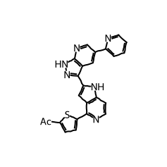 CC(=O)c1ccc(-c2nccc3[nH]c(-c4n[nH]c5ncc(-c6ccccn6)cc45)cc23)s1